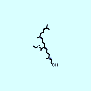 CCOC(=O)/C(=C\CC/C(C)=C/CO)CC/C=C(\C)CCC=C(C)C